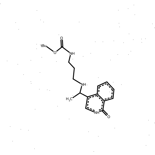 CC(NCCCNC(=O)OC(C)(C)C)c1c[nH]c(=O)c2ccccc12